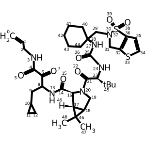 C=CCNC(=O)C(=O)C(CC1CC1)NC(=O)[C@@H]1[C@@H]2C(CN1C(=O)[C@@H](NC(=O)NC1(CN3Cc4sccc4S3(=O)=O)CCCCC1)C(C)(C)C)C2(C)C